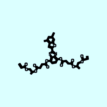 C=CC(=O)OCC(C)OC(=O)CCC(=O)Oc1ccc(OC(=O)CCC(=O)OC(C)COC(=O)C=C)c2sc(-c3cc4c(C)cc(C)cc4o3)nc12